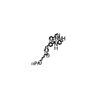 CCCOCCCCCC(=O)N1CCN(Cc2ccc(C(=O)Nc3ccc(C)c(Nc4nccc(-c5cccnc5)n4)c3)cc2)CC1